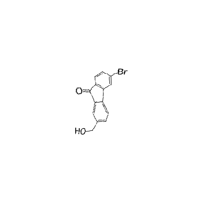 O=C1c2cc(CO)ccc2-c2cc(Br)ccc21